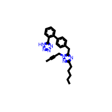 CC#CCn1nc(CCCCC)nc1Cc1ccc(-c2ccccc2-c2nnn[nH]2)cc1